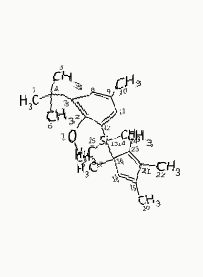 COc1c(C(C)(C)C)cc(C)cc1[Si](C)(C)C1(C)[C]=C(C)C(C)=C1C